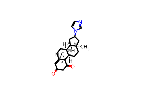 C[C@]12CC[C@@H]3[C@@H](CCC4=CC(=O)CC(=O)[C@@]43C)[C@@H]1CC(n1ccnc1)C2